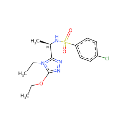 CCOc1nnc([C@@H](C)NS(=O)(=O)c2ccc(Cl)cc2)n1CC